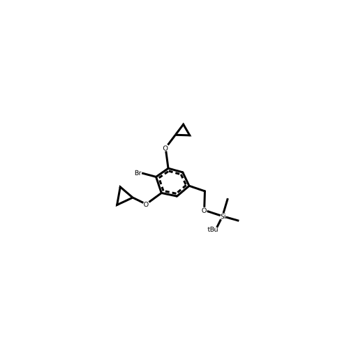 CC(C)(C)[Si](C)(C)OCc1cc(OC2CC2)c(Br)c(OC2CC2)c1